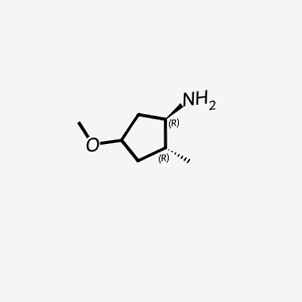 COC1C[C@@H](C)[C@H](N)C1